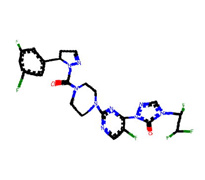 O=C(N1CCN(c2ncc(F)c(-n3ncn(C(F)C(F)F)c3=O)n2)CC1)N1N=CCC1c1cc(F)cc(F)c1